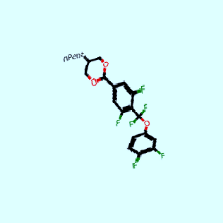 CCCCCC1COC(c2cc(F)c(C(F)(F)Oc3ccc(F)c(F)c3)c(F)c2)OC1